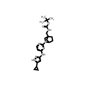 CC(C)(C)OC(=O)NCC12CCC(C1)N(c1nccc(Nc3cc(C4CC4)[nH]n3)n1)C2